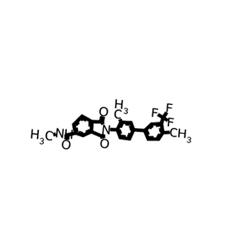 CNC(=O)c1ccc2c(c1)C(=O)N(c1ccc(-c3ccc(C)c(C(F)(F)F)c3)cc1C)C2=O